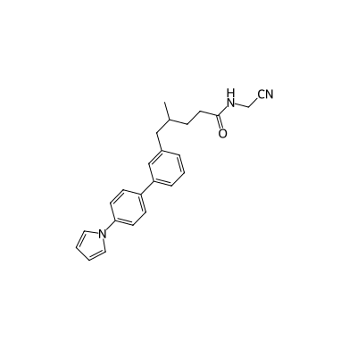 CC(CCC(=O)NCC#N)Cc1cccc(-c2ccc(-n3cccc3)cc2)c1